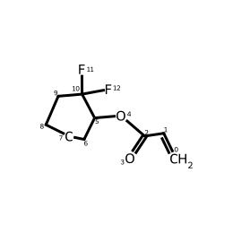 C=CC(=O)OC1CCCCC1(F)F